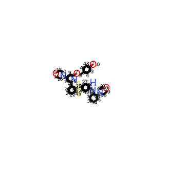 COc1ccc(COc2cc(N3CCOCC3)cc(-c3cccc4c3Sc3ccc(N[C@@H]5CCCC[C@@H]5N5CCOCC5)cc3S4)n2)cc1